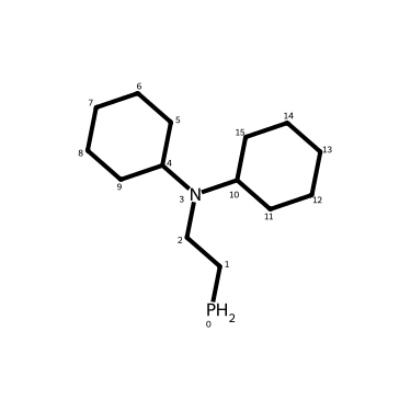 PCCN(C1CCCCC1)C1CCCCC1